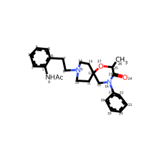 CC(=O)Nc1ccccc1CCN1CCC2(CC1)CN(c1ccccc1)C(=O)C(C)O2